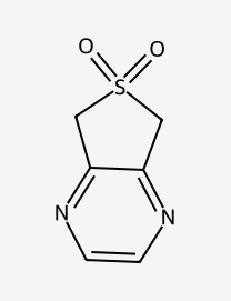 O=S1(=O)Cc2nccnc2C1